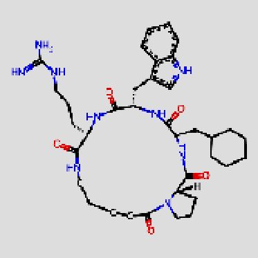 N=C(N)NCCC[C@@H]1NC(=O)[C@H](Cc2c[nH]c3ccccc23)NC(=O)[C@@H](CC2CCCCC2)NC(=O)[C@@H]2CCCN2C(=O)CCCCNC1=O